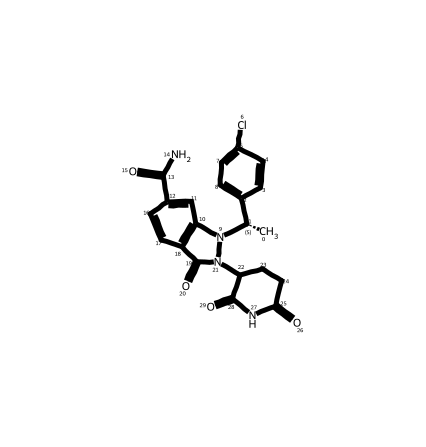 C[C@@H](c1ccc(Cl)cc1)n1c2cc(C(N)=O)ccc2c(=O)n1C1CCC(=O)NC1=O